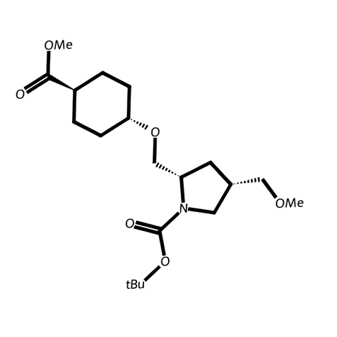 COC[C@H]1C[C@@H](CO[C@H]2CC[C@H](C(=O)OC)CC2)N(C(=O)OC(C)(C)C)C1